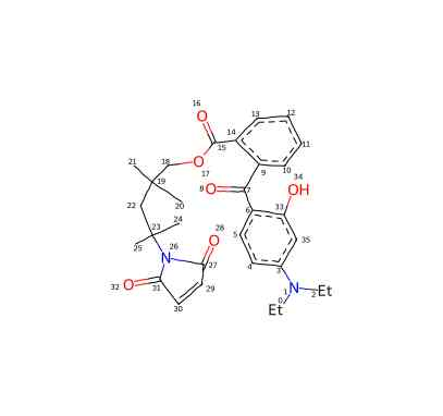 CCN(CC)c1ccc(C(=O)c2ccccc2C(=O)OCC(C)(C)CC(C)(C)N2C(=O)C=CC2=O)c(O)c1